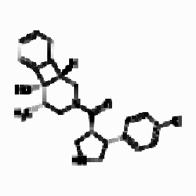 C[C@H]1CN(C(=O)[C@@H]2CNC[C@H]2c2ccc(Cl)cc2)C[C@H]2c3ccccc3[C@]12O